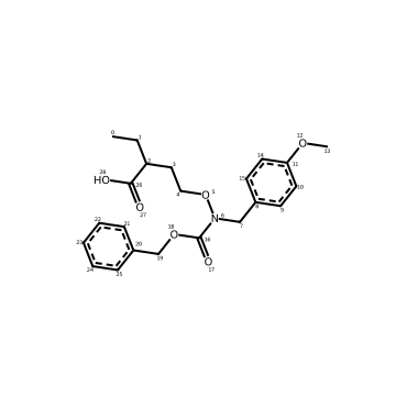 CCC(CCON(Cc1ccc(OC)cc1)C(=O)OCc1ccccc1)C(=O)O